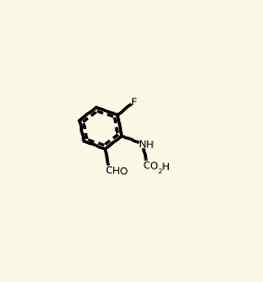 O=Cc1cccc(F)c1NC(=O)O